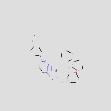 FC(F)(F)Oc1ccc(-c2ccc3nnc(CP(CBr)(c4ccccc4)(c4ccccc4)c4ccccc4)n3n2)cc1